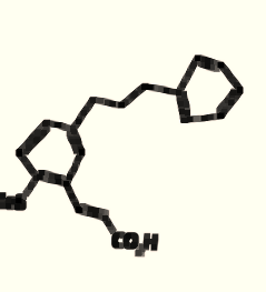 CSc1ccc(CCCc2ccccc2)cc1C=CC(=O)O